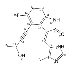 Cc1nc[nH]c1/C=C1\C(=O)Nc2ccc(F)c(C#CC(C)O)c21